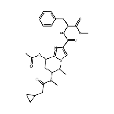 COC(=O)C(Cc1ccccc1)NC(=O)c1csc(C(CC(C(C)C)N(C)C(=O)CC2CC2)OC(C)=O)n1